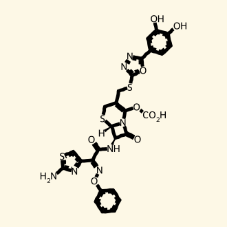 Nc1nc(C(=NOc2ccccc2)C(=O)N[C@@H]2C(=O)N3C(OC(=O)O)=C(CSc4nnc(-c5ccc(O)c(O)c5)o4)CS[C@@H]23)cs1